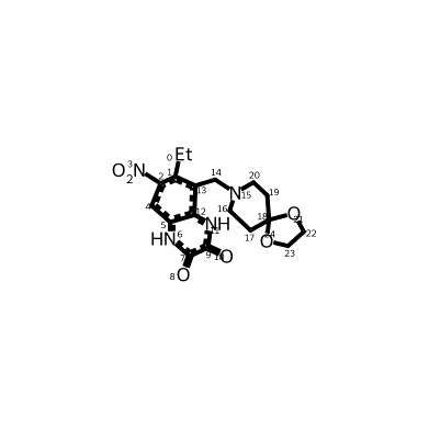 CCc1c([N+](=O)[O-])cc2[nH]c(=O)c(=O)[nH]c2c1CN1CCC2(CC1)OCCO2